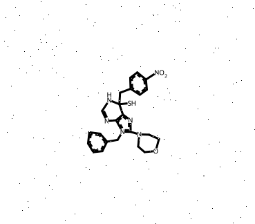 O=[N+]([O-])c1ccc(CC2(S)NC=Nc3c2nc(N2CCOCC2)n3Cc2ccccc2)cc1